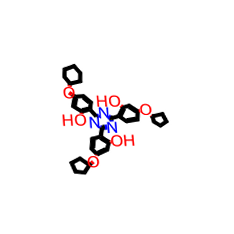 Oc1cc(OC2CCCCC2)ccc1-c1nc(-c2ccc(OC3CCCC3)cc2O)nc(-c2ccc(OC3CCCC3)cc2O)n1